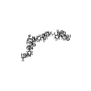 CN(C[C@@H]1CN(CCCc2cccc3c2n(C)c(=O)n3C2CCC(=O)NC2=O)CCO1)C(=O)c1ccc(-n2cc(NC(=O)c3coc(-c4ccnc(NCC5CC5)c4)n3)c(C(F)F)n2)cc1